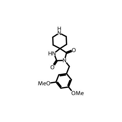 COc1cc(CN2C(=O)NC3(CCNCC3)C2=O)cc(OC)c1